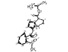 CC(C)OC(=O)C1CCCn2c(C(=O)c3ccccc3[S+](C)[O-])ccc21